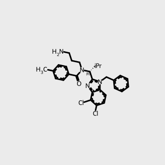 Cc1ccc(C(=O)N(CCCN)[C@@H](c2nc3c(Cl)c(Cl)ccc3n2Cc2ccccc2)C(C)C)cc1